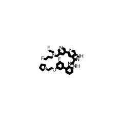 FCCCN(CCF)Cc1cncc(-c2cc3c(-c4nc5c(-c6cc(F)cc(OCCN7CCCC7)c6)cccc5[nH]4)n[nH]c3cn2)c1